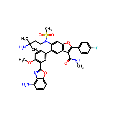 CNC(=O)c1c(-c2ccc(F)cc2)oc2cc(N(CCC(C)(C)N)S(C)(=O)=O)c(-c3ccc(OC)c(-c4nc5c(N)cccc5o4)c3)cc12